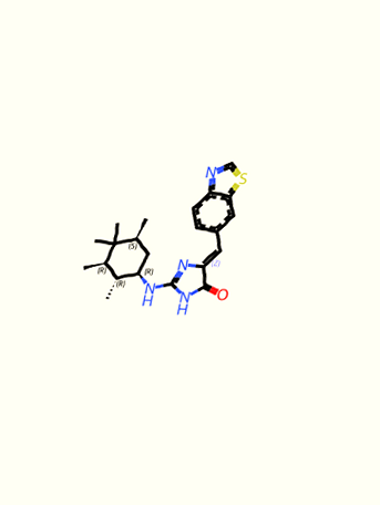 C[C@@H]1[C@@H](C)C(C)(C)[C@@H](C)C[C@H]1NC1=N/C(=C\c2ccc3ncsc3c2)C(=O)N1